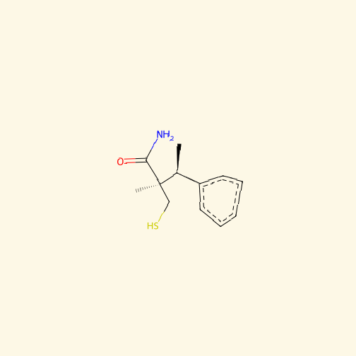 C[C@@H](c1ccccc1)[C@@](C)(CS)C(N)=O